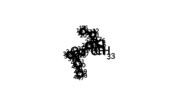 CC1(C)c2ccccc2N(c2cccc(-c3ccccc3)c2)c2ccc(-c3ccc4c(c3)Oc3ccccc3N4c3ccc(-c4ccccc4)cc3)cc21